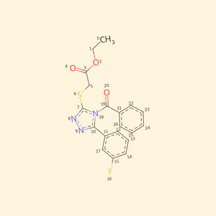 CCOC(=O)CSc1nnc(-c2cccc(F)c2)n1C(=O)c1ccccc1